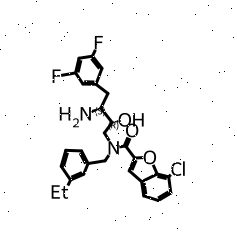 CCc1cccc(CN(C[C@@H](O)[C@@H](N)Cc2cc(F)cc(F)c2)C(=O)c2cc3cccc(Cl)c3o2)c1